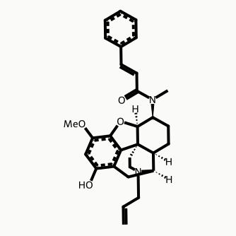 C=CCN1CC[C@]23c4c5c(O)cc(OC)c4O[C@H]2[C@@H](N(C)C(=O)C=Cc2ccccc2)CC[C@H]3[C@H]1C5